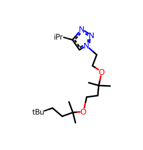 CC(C)c1cn(CCOC(C)(C)CCOC(C)(C)CCC(C)(C)C)nn1